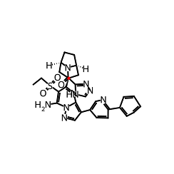 CCS(=O)(=O)c1c([C@H]2C[C@H]3CC[C@@H](C2)N3C(=O)c2nnc[nH]2)nc2c(-c3ccc(-c4ccccc4)nc3)cnn2c1N